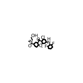 COc1ccc(C(=O)N(C)CCO)cc1C(=O)c1ccc(Nc2c(F)cccc2F)cc1Cl